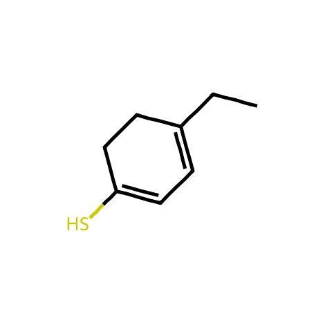 CCC1=CC=C(S)CC1